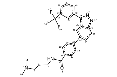 CN(C)CCCNC(=O)c1ccc(-c2ccc3nnc(-c4cccc(C(F)(F)F)c4)n3c2)cc1